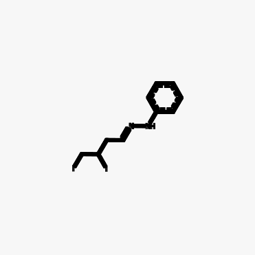 ICC(I)CC=NNc1ccccc1